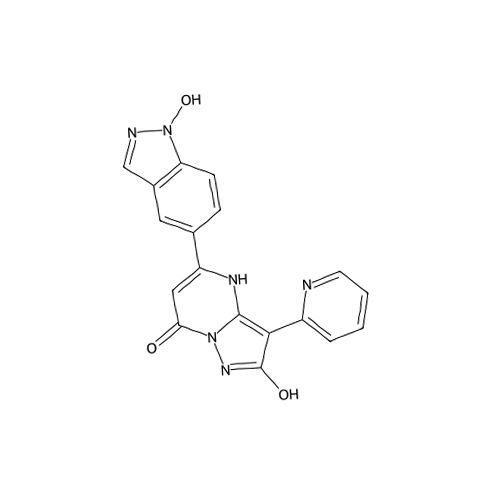 O=c1cc(-c2ccc3c(cnn3O)c2)[nH]c2c(-c3ccccn3)c(O)nn12